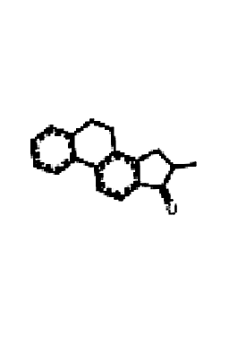 CC1Cc2c(ccc3c2CCc2ccccc2-3)C1=O